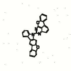 c1ccc2c(c1)Oc1nc(-n3c4ccccc4c4cc5c(cc43)oc3ccccc35)nc3cccc-2c13